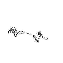 CC(C)(C)[Si](C)(C)O[C@H](CNCCCCCCCCCN1CCC(N(C(=O)O)c2ccccc2-c2ccc(OCc3ccccc3)c(Cl)c2)CC1)c1ccc(OCc2ccccc2)c(NS(C)(=O)=O)c1